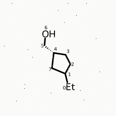 CCC1CC[C@@H](CO)C1